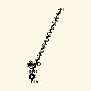 CCCCCCCCCCc1ccc(NC(=O)C(CNC(=O)CCOCCOCCOCCOCCOCCOCCOCCOCCOCC)OP(=O)(O)O)cc1